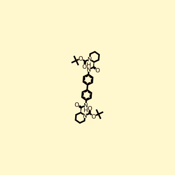 CC(C)(C)OC(=O)N1CCCC[C@H]1C(=O)Nc1ccc(-c2ccc(NC(=O)[C@@H]3CCCCN3C(=O)OC(C)(C)C)cc2)cc1